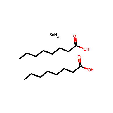 CCCCCCCC(=O)O.CCCCCCCC(=O)O.[SnH2]